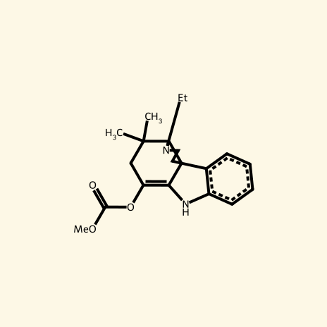 CCN1CCC23C(=C(OC(=O)OC)CC(C)(C)C12)Nc1ccccc13